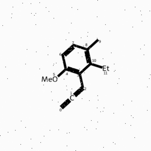 C=C=Cc1c(OC)ccc(C)c1CC